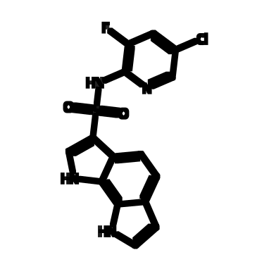 O=S(=O)(Nc1ncc(Cl)cc1F)c1c[nH]c2c1ccc1cc[nH]c12